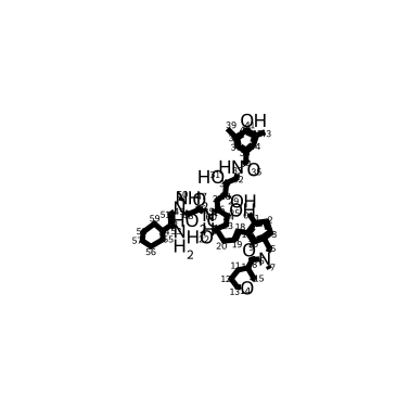 Cc1ccc(CN(C)C(=O)C2CCCOC2)cc1/C=C/C[C@@](O)(C[C@H](O)C(C[C@H](O)C(O)CNC(=O)c1cc(C)c(O)c(C)c1)NC(=O)CN(N)/C=C(\N)C1CCCCC1)C(=O)O